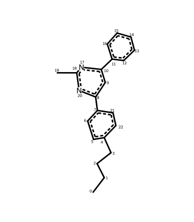 CCCCc1ccc(-c2cc(-c3ccccc3)nc(C)n2)cc1